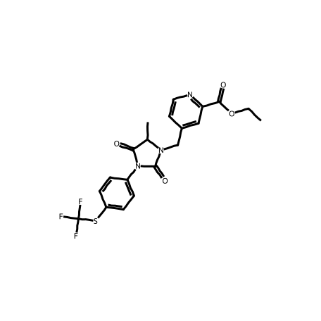 CCOC(=O)c1cc(CN2C(=O)N(c3ccc(SC(F)(F)F)cc3)C(=O)C2C)ccn1